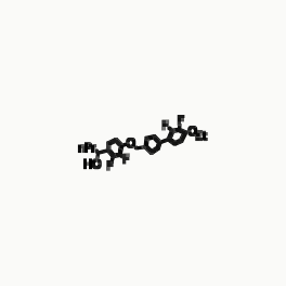 CCCC(O)c1ccc(OCc2ccc(-c3ccc(OCC)c(F)c3F)cc2)c(F)c1F